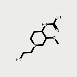 COC1CN(CCO)CCC1NC(=O)O